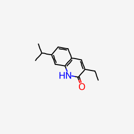 CCc1cc2ccc(C(C)C)cc2[nH]c1=O